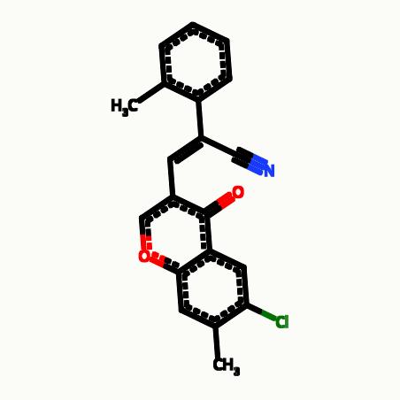 Cc1cc2occ(C=C(C#N)c3ccccc3C)c(=O)c2cc1Cl